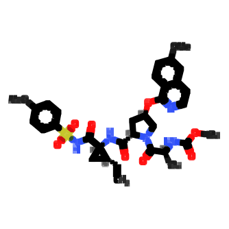 C=C[C@@H]1C[C@]1(NC(=O)[C@@H]1C[C@@H](Oc2nccc3cc(OC)ccc23)CN1C(=O)[C@@H](NC(=O)OC(C)(C)C)C(C)(C)C)C(=O)NS(=O)(=O)c1ccc(OC)cc1